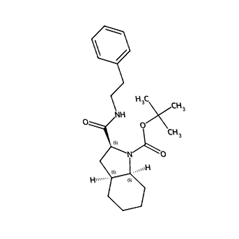 CC(C)(C)OC(=O)N1[C@H](C(=O)NCCc2ccccc2)C[C@@H]2CCCC[C@@H]21